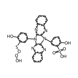 O=S(=O)(O)c1cc(N2c3nc4ccccc4nc3N(c3ccc(O)c(SOOO)c3)c3nc4ccccc4nc32)ccc1O